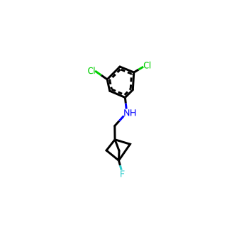 FC12CC(CNc3cc(Cl)cc(Cl)c3)(C1)C2